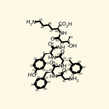 C[C@@H](O)[C@H](NC(=O)[C@H](Cc1ccc(O)cc1)NC(=O)[C@H](Cc1ccccc1)NC(=O)[C@H](Cc1ccccc1)NC(=O)CN)C(=O)N[C@@H](CCCCN)C(=O)O